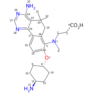 CN(CCC(=O)O)c1c(O[C@H]2CC[C@H](N)CC2)ccc2c1CC(C)(C)c1c(N)ncnc1-2